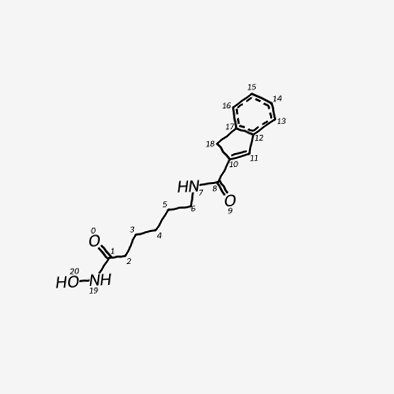 O=C(CCCCCNC(=O)C1=Cc2ccccc2C1)NO